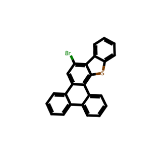 Brc1cc2c3ccccc3c3ccccc3c2c2sc3ccccc3c12